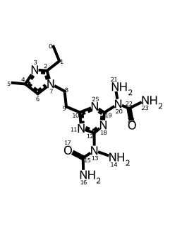 CCc1nc(C)cn1CCc1nc(N(N)C(N)=O)nc(N(N)C(N)=O)n1